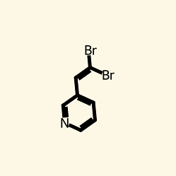 BrC(Br)=Cc1cccnc1